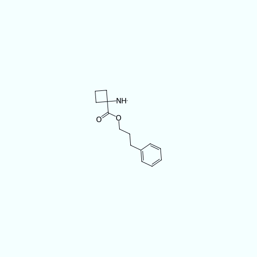 [NH]C1(C(=O)OCCCc2ccccc2)CCC1